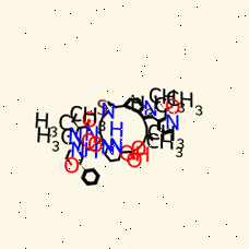 CCn1c(-c2cccnc2[C@H](C)OC)c2c3cc(ccc31)-c1csc(n1)C[C@H](NC(=O)[C@H](C(C)C)N(C)C(=O)N1CCO[C@@H](c3ccccc3)C1)C(=O)N1CCC[C@@](O)(N1)C(=O)OCC(C)(C)C2